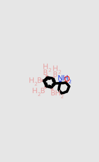 Bc1c(B)c(B)c(C2(N)CCCCC2=O)c(B)c1B